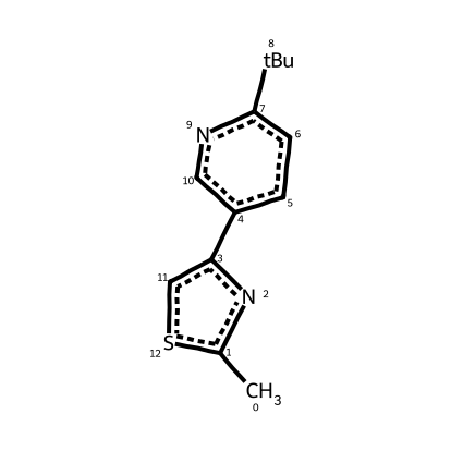 Cc1nc(-c2ccc(C(C)(C)C)nc2)cs1